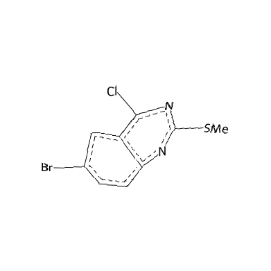 CSc1nc(Cl)c2cc(Br)ccc2n1